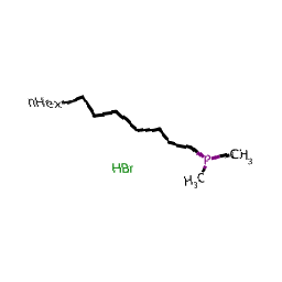 Br.CCCCCCCCCCCCCP(C)C